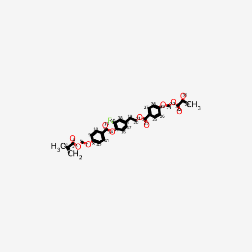 C=C(C)C(=O)OCOc1ccc(C(=O)Oc2ccc(CCOC(=O)c3ccc(OCOC(=O)C(C)=O)cc3)cc2F)cc1